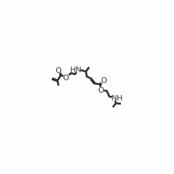 C=C(C)C(=O)OCCNC(C)CC=CC(=O)OCCNC(C)C